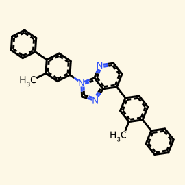 Cc1cc(-c2ccnc3c2ncn3-c2ccc(-c3ccccc3)c(C)c2)ccc1-c1ccccc1